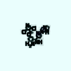 C[C@@H](Oc1ccc(N)c(C(=N)c2ccc(N3CCN4CCC[C@@H]4C3)nc2)c1)c1c(Cl)cncc1Cl